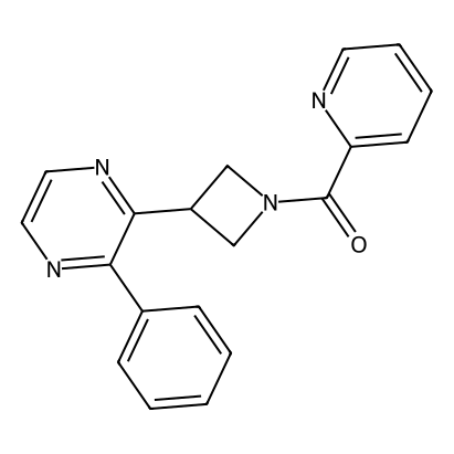 O=C(c1ccccn1)N1CC(c2nccnc2-c2ccccc2)C1